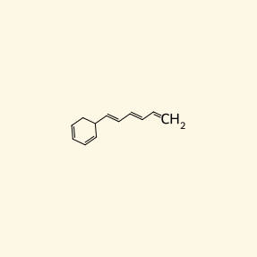 C=CC=CC=CC1C=CC=CC1